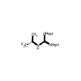 CCCCCCCC(CCCCCCC)N[C@@H](C)C(F)(F)F